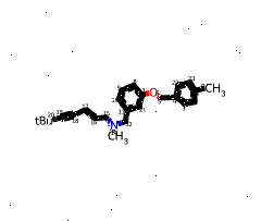 Cc1ccc(COc2cccc(CN(C)CC=CC#CC(C)(C)C)c2)cc1